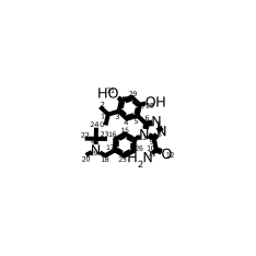 CC(C)c1cc(-c2nnc(C(N)=O)n2-c2ccc(CN(C)C(C)(C)C)cc2)c(O)cc1O